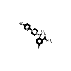 CN(c1ccc(F)cc1C(N)=O)N1CCN(c2ccc(C#N)cn2)CC1